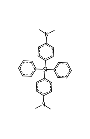 CN(C)c1ccc([Si](c2ccccc2)(c2ccccc2)c2ccc(N(C)C)cc2)cc1